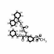 CS(=O)(=O)Oc1cccc(C(CNC(=O)OCC2c3ccccc3-c3ccccc32)C(=O)OCc2ccccc2)c1